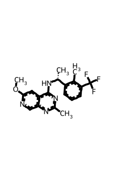 COc1cc2c(N[C@H](C)c3cccc(C(F)(F)F)c3C)nc(C)nc2cn1